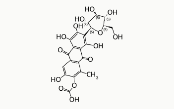 Cc1c(OC(=O)O)c(O)cc2c1C(=O)c1c(O)c([C@@H]3O[C@H](CO)[C@@H](O)[C@H](O)[C@H]3O)c(O)c(O)c1C2=O